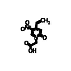 C=Cc1cc(=O)n(CC(=O)O)cc1[N+](=O)[O-]